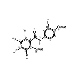 COc1ccc(NC(=O)c2c(F)c(F)c(F)c(F)c2SC)cc1F